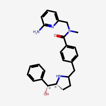 CN(Cc1cccc(N)n1)C(=O)c1ccc(CC2CC[C@H]([C@H](O)c3ccccc3)N2)cc1